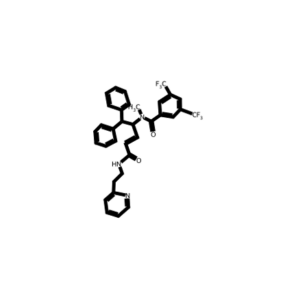 CN(C(=O)c1cc(C(F)(F)F)cc(C(F)(F)F)c1)C(C=CC(=O)NCCc1ccccn1)C(c1ccccc1)c1ccccc1